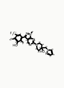 Cn1nc(-c2cc(C(F)(F)F)c(F)c(O)c2F)c2cnc(N3CCC(O)(Cn4cccn4)CC3)nc21